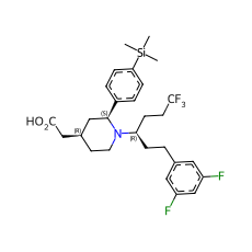 C[Si](C)(C)c1ccc([C@@H]2C[C@H](CC(=O)O)CCN2[C@H](CCc2cc(F)cc(F)c2)CCC(F)(F)F)cc1